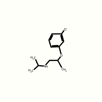 CC(C)NCC(C)Oc1cccc(Cl)c1